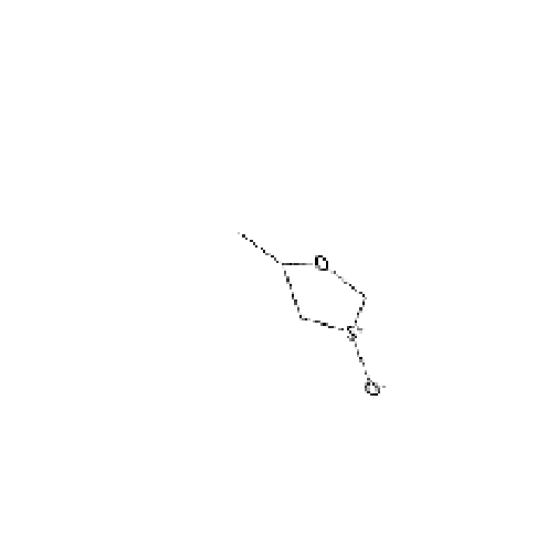 CC1C[S+]([O-])CO1